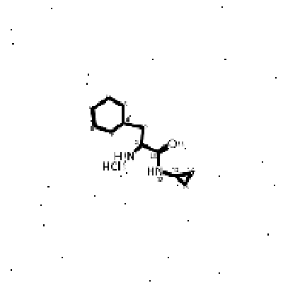 Cl.NC(CC1CCCCC1)C(=O)NC1CC1